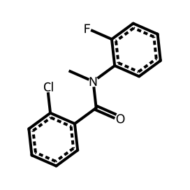 CN(C(=O)c1ccccc1Cl)c1ccccc1F